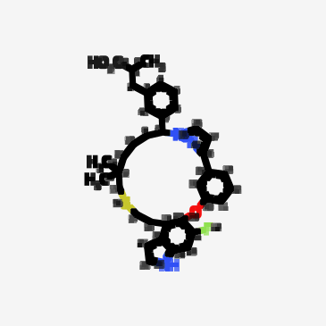 CC(Cc1cccc(C2CCCC(C)(C)CSCCc3c(c(F)cc4[nH]ccc34)Oc3cccc(c3)-c3ccn2n3)c1)C(=O)O